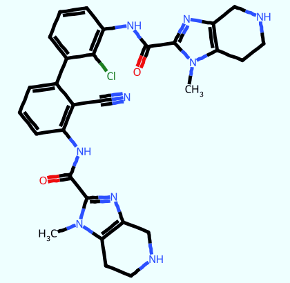 Cn1c(C(=O)Nc2cccc(-c3cccc(NC(=O)c4nc5c(n4C)CCNC5)c3C#N)c2Cl)nc2c1CCNC2